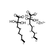 C=CCCCCC(O)(O)C(=O)[O-].C=CCCCCC(O)(O)C(=O)[O-].[Zn+2]